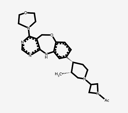 CC(=O)N1CC(N2CC[C@@H](c3ccc4c(c3)Nc3ncnc(N5CCOCC5)c3CO4)[C@@H](C)C2)C1